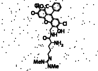 CNC(=NCCCC(N)C(=O)NCc1c(O)c(Cl)cc2c(-c3ccccc3C(=O)O)c3cc(Cl)c(=O)cc-3oc12)NC